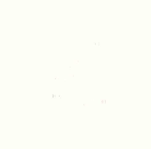 CCCCc1ccc(C(=O)O)c(CC(C)C(=O)OC(=O)c2ccccc2)c1